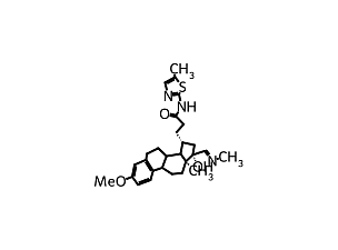 C/N=C/[C@]1(O)C[C@@H](CCC(=O)Nc2ncc(C)s2)C2C3CCc4cc(OC)ccc4C3CC[C@@]21C